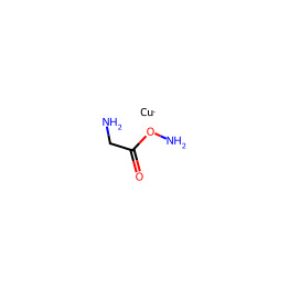 NCC(=O)ON.[Cu]